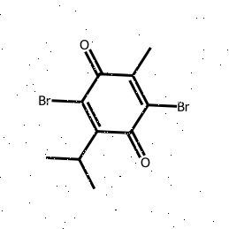 CC1=C(Br)C(=O)C(C(C)C)=C(Br)C1=O